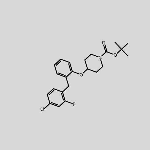 CC(C)(C)OC(=O)N1CCC(Oc2ccccc2Cc2ccc(Cl)cc2F)CC1